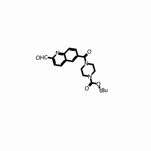 CC(C)(C)OC(=O)N1CCN(C(=O)c2ccc3nc(C=O)ccc3c2)CC1